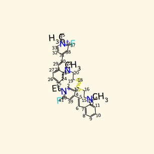 CC[n+]1ccc(/C=C/c2ccccc2N(C)CCSSCCN(C)c2ccccc2/C=C/c2cc[n+](C)c(F)c2)cc1F